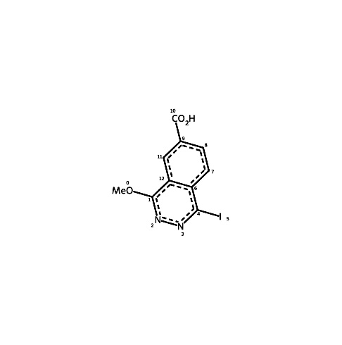 COc1nnc(I)c2ccc(C(=O)O)cc12